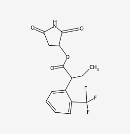 CCC(C(=O)OC1CC(=O)NC1=O)c1ccccc1C(F)(F)F